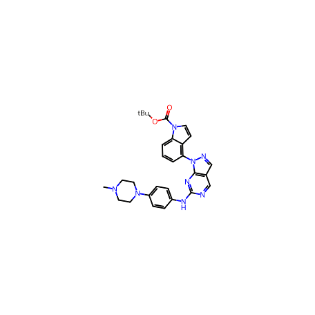 CN1CCN(c2ccc(Nc3ncc4cnn(-c5cccc6c5ccn6C(=O)OC(C)(C)C)c4n3)cc2)CC1